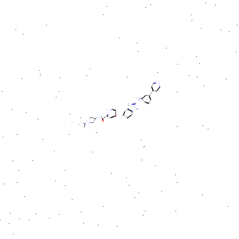 CC(C)N1CC(NC(=O)c2cc(Oc3ccc4c(c3)nc(Nc3cccc(-c5ccncc5)c3)n4C)ccn2)C1